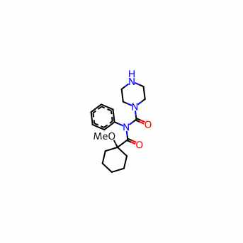 COC1(C(=O)N(C(=O)N2CCNCC2)c2ccccc2)CCCCC1